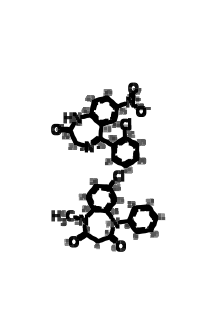 CN1C(=O)CC(=O)N(c2ccccc2)c2cc(Cl)ccc21.O=C1CN=C(c2ccccc2Cl)c2cc([N+](=O)[O-])ccc2N1